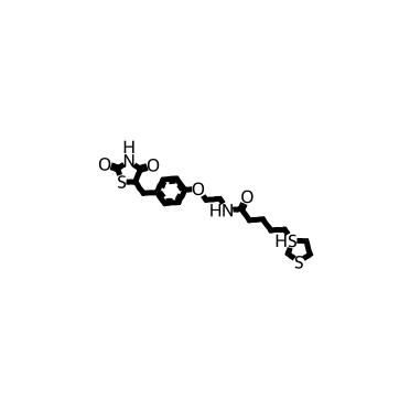 O=C(CCCC[SH]1CCSC1)NCCOc1ccc(CC2SC(=O)NC2=O)cc1